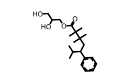 CC(C)C(CC(C)(C)C(C)(C)C(=O)OCC(O)CO)c1ccccc1